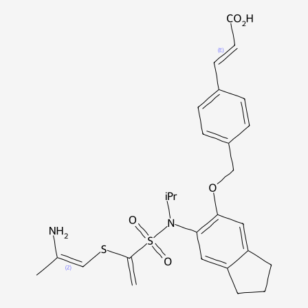 C=C(S/C=C(/C)N)S(=O)(=O)N(c1cc2c(cc1OCc1ccc(/C=C/C(=O)O)cc1)CCC2)C(C)C